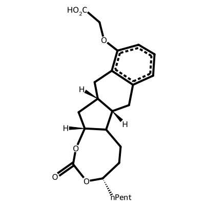 CCCCC[C@H]1CCC2[C@H]3Cc4cccc(OCC(=O)O)c4C[C@H]3C[C@H]2OC(=O)O1